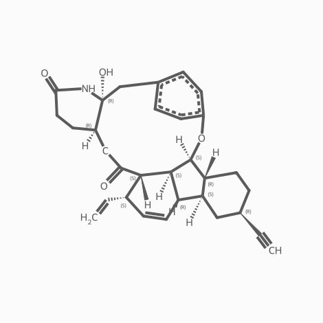 C#C[C@@H]1CC[C@@H]2[C@@H](C1)[C@@H]1C=C[C@H](C=C)[C@@H]3C(=O)C[C@H]4CCC(=O)N[C@@]4(O)Cc4ccc(cc4)O[C@@H]2[C@@H]13